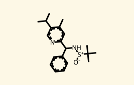 Cc1cc(C(N[S@+]([O-])C(C)(C)C)c2ccccc2)ncc1C(C)C